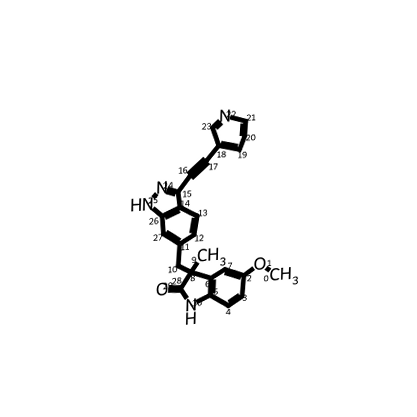 COc1ccc2c(c1)C(C)(Cc1ccc3c(C#Cc4cccnc4)n[nH]c3c1)C(=O)N2